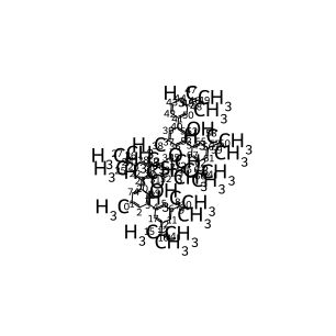 Cc1cc(-c2cc(C(C)(C)C)cc(C(C)(C)C)c2)c(O)c(-c2cc(C(C)(C)C)ccc2OC[Si](COc2c(C)cc(-c3cccc(C(C)(C)C)c3)c(O)c2-c2cc(C(C)(C)C)cc(C(C)(C)C)c2)(C(C)C)C(C)C)c1